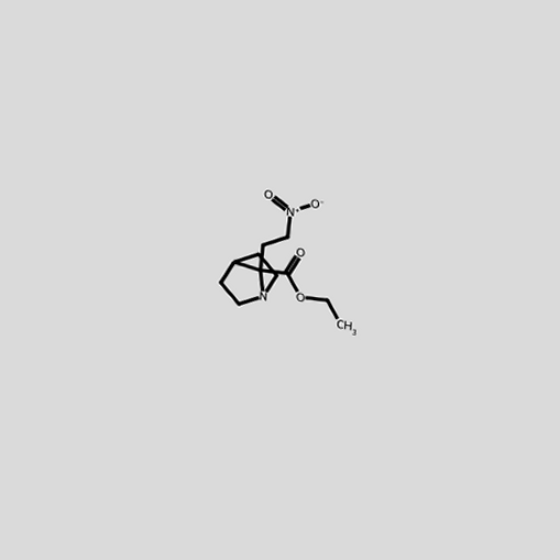 CCOC(=O)C1(CC[N+](=O)[O-])C2CCN1CC2